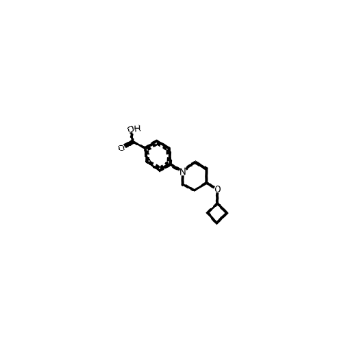 O=C(O)c1ccc(N2CCC(OC3CCC3)CC2)cc1